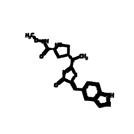 CONC(=O)[C@H]1C[C@H](N(C)C2=NC(=O)/C(=C/c3ccc4[nH]ncc4c3)S2)CN1